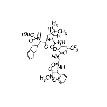 CN(C)C(=O)[C@@H](NC(=O)CNC(=O)C(=O)[C@H](CCC(F)(F)F)NC(=O)[C@@H]1[C@@H]2[C@H](CN1C(=O)[C@@H](NC(=O)OC(C)(C)C)C1Cc3ccccc3C1)C2(C)C)c1ccccc1